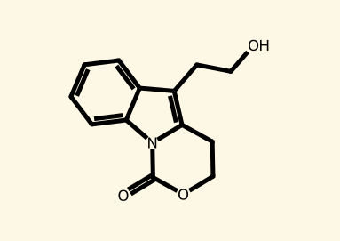 O=C1OCCc2c(CCO)c3ccccc3n21